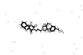 COc1ccc2c(c1)OC[C@H]1CN(CCCn3c(=O)[nH]c4c(sc5ccccc54)c3=O)C[C@@H]21